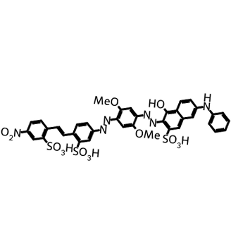 COc1cc(N=Nc2c(S(=O)(=O)O)cc3cc(Nc4ccccc4)ccc3c2O)c(OC)cc1N=Nc1ccc(C=Cc2ccc([N+](=O)[O-])cc2S(=O)(=O)O)c(S(=O)(=O)O)c1